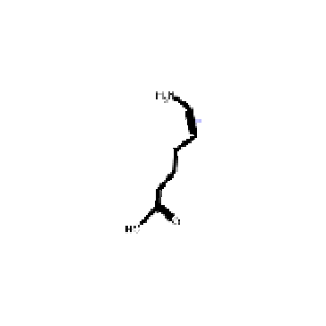 N/C=C\CCCC(=O)O